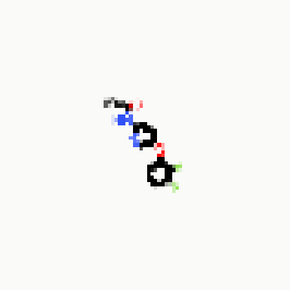 CC(C)C(=O)Nc1ccc(Oc2cccc(F)c2F)cn1